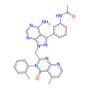 CC(=O)Nc1cccc(-c2nn(Cc3nc4nccc(C)c4c(=O)n3-c3ccccc3C)c3ncnc(N)c23)c1